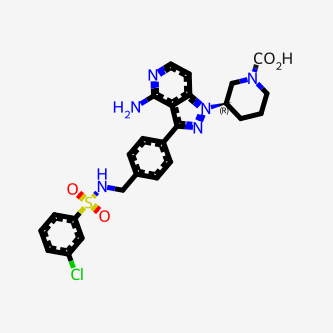 Nc1nccc2c1c(-c1ccc(CNS(=O)(=O)c3cccc(Cl)c3)cc1)nn2[C@@H]1CCCN(C(=O)O)C1